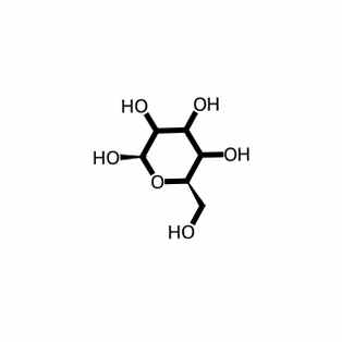 OC[C@H]1O[C@@H](O)C(O)C(O)C1O